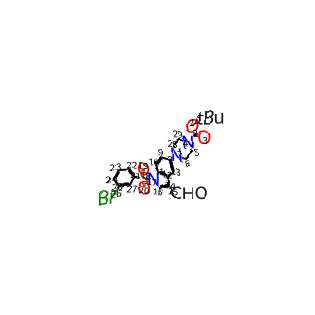 CC(C)(C)OC(=O)N1CCN(c2ccc3c(c2)c(C=O)cn3S(=O)(=O)c2cccc(Br)c2)CC1